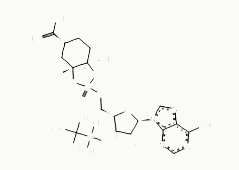 C=C(C)[C@H]1CC[C@@]2(C)SP(=S)(OC[C@H]3O[C@@H](n4cnc5c(O)ncnc54)[C@H](F)[C@@H]3O[Si](C)(C)C(C)(C)C)O[C@@H]2C1